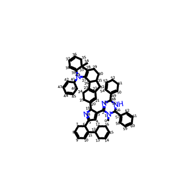 CN1C(C2=CC(C3CC=CC=C3C3CC=CCC3)=NC2C2=CC3=C(CC2)C2C4=C(CCC2C3)C2(C)CC=CC=C2N4C2C=CC=CC2)=NC(C2=CCCC=C2)NC1c1ccccc1